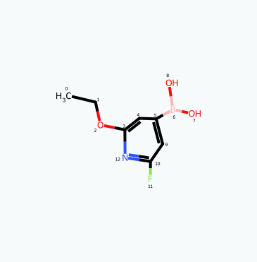 CCOc1cc(B(O)O)cc(F)n1